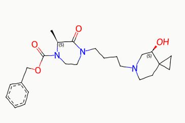 C[C@H]1C(=O)N(CCCCN2CCC3(CC3)[C@H](O)C2)CCN1C(=O)OCc1ccccc1